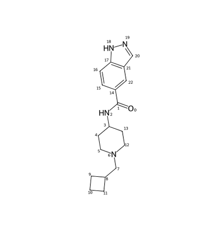 O=C(NC1CCN(CC2CCC2)CC1)c1ccc2[nH]ncc2c1